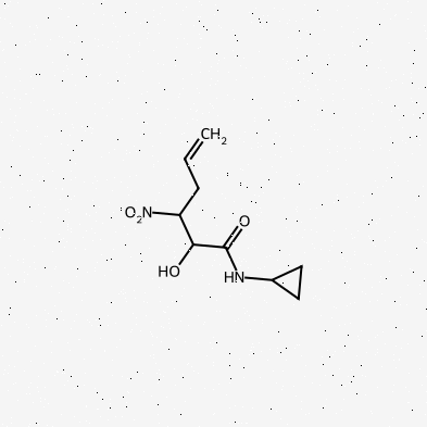 C=CCC(C(O)C(=O)NC1CC1)[N+](=O)[O-]